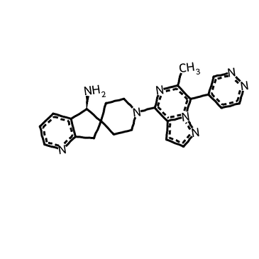 Cc1nc(N2CCC3(CC2)Cc2ncccc2[C@H]3N)c2ccnn2c1-c1ccnnc1